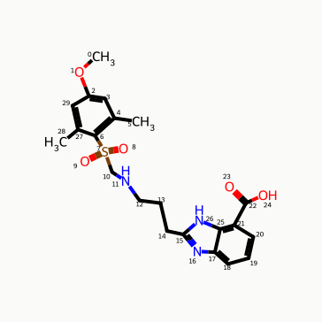 COc1cc(C)c(S(=O)(=O)CNCCCc2nc3cccc(C(=O)O)c3[nH]2)c(C)c1